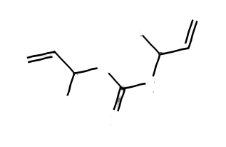 C=CC(I)OC(=O)OC(I)C=C